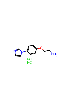 Cl.Cl.NCCOc1ccc(-n2ccnc2)cc1